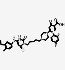 CCc1cc(Nc2cc(=O)n(CCCCCN3CCN(c4cc(=O)c(C(=O)O)cn4-c4ccc(F)cc4F)CC3)c(=O)[nH]2)ccc1C